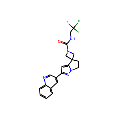 O=C(NCC(F)(F)F)N1CC2(CCn3nc(-c4cnc5ccccc5c4)cc32)C1